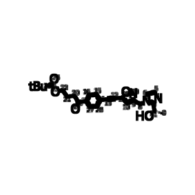 C[C@H](O)c1nccn1Cc1cc(C#Cc2ccc(C(=O)CCCOC(=O)C(C)(C)C)cc2)on1